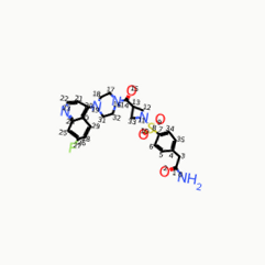 NC(=O)Cc1ccc(S(=O)(=O)N2CC(C(=O)N3CCN(c4ccnc5cc(F)ccc45)CC3)C2)cc1